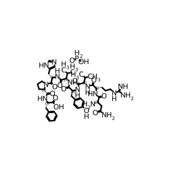 CC(C)[C@H](NC(=O)[C@H](CCCNC(=N)N)NC(=O)[C@@H](N)CC(N)=O)C(=O)N[C@@H](Cc1ccc(O)cc1)C(=O)N[C@H](C(=O)N[C@@H](Cc1cnc[nH]1)C(=O)N1CCC[C@H]1C(=O)N[C@@H](Cc1ccccc1)C(=O)O)C(C)C.O=[PH2]O